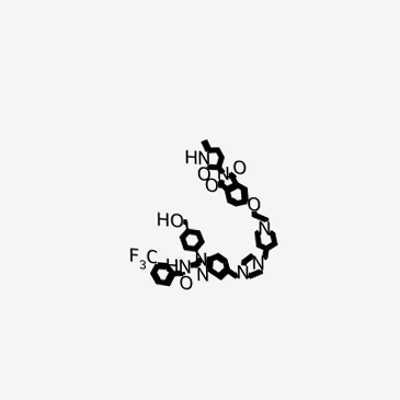 C=C1CCC(N2C(=O)c3ccc(OCCN4CCC(CN5CCN(Cc6ccc7c(c6)nc(NC(=O)c6cccc(C(F)(F)F)c6)n7[C@H]6CC[C@@H](CO)CC6)CC5)CC4)cc3C2=O)C(=O)N1